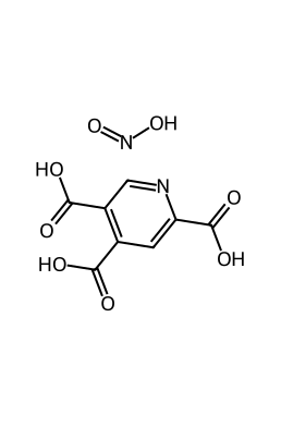 O=C(O)c1cc(C(=O)O)c(C(=O)O)cn1.O=NO